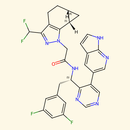 O=C(Cn1nc(C(F)F)c2c1[C@H]1C[C@H]1CC2)N[C@@H](Cc1cc(F)cc(F)c1)c1ncncc1-c1cnc2[nH]ccc2c1